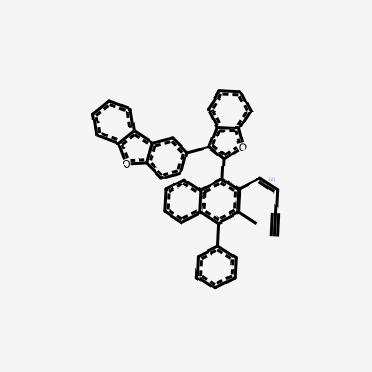 C#C/C=C\c1c(C)c(-c2ccccc2)c2ccccc2c1-c1oc2ccccc2c1-c1ccc2oc3ccccc3c2c1